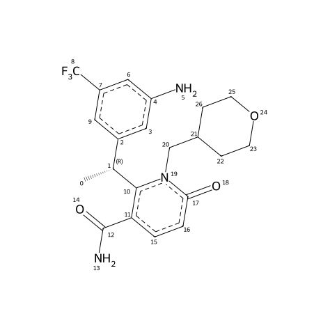 C[C@H](c1cc(N)cc(C(F)(F)F)c1)c1c(C(N)=O)ccc(=O)n1CC1CCOCC1